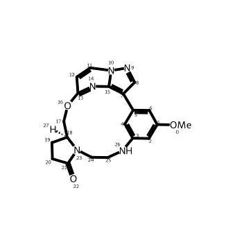 COc1cc2cc(c1)-c1cnn3ccc(nc13)OC[C@@H]1CCC(=O)N1CCN2